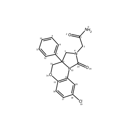 NC(=O)CN1CC2(c3ccccc3)COc3ccc(Cl)cc3N2C1=O